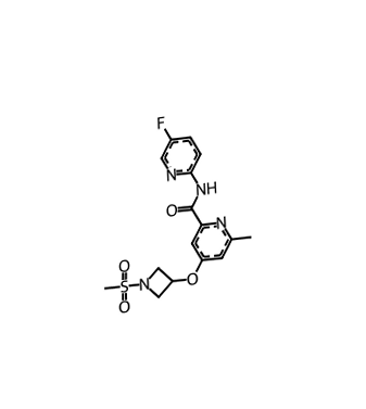 Cc1cc(OC2CN(S(C)(=O)=O)C2)cc(C(=O)Nc2ccc(F)cn2)n1